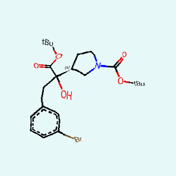 CC(C)(C)OC(=O)N1CC[C@H](C(O)(Cc2cccc(Br)c2)C(=O)OC(C)(C)C)C1